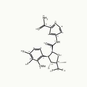 COc1c([C@H]2[C@@H](C(=O)Nc3ccnc(C(N)=O)c3)O[C@@](C)(C(F)F)[C@@H]2C)ccc(F)c1F